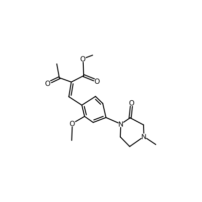 COC(=O)C(=Cc1ccc(N2CCN(C)CC2=O)cc1OC)C(C)=O